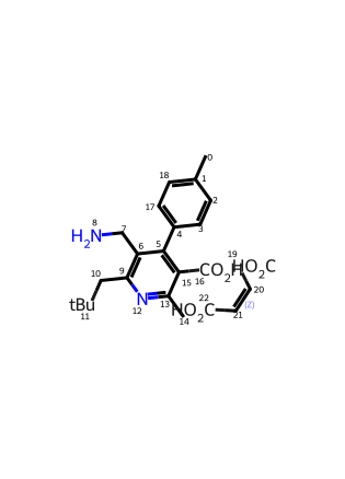 Cc1ccc(-c2c(CN)c(CC(C)(C)C)nc(C)c2C(=O)O)cc1.O=C(O)/C=C\C(=O)O